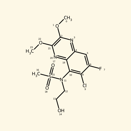 COc1nc2cc(F)c(Cl)c(N(CCO)S(C)(=O)=O)c2nc1OC